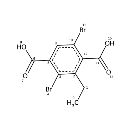 CCc1c(Br)c(C(=O)O)cc(Br)c1C(=O)O